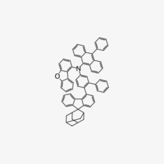 c1ccc(-c2cc(N(c3c4ccccc4c(-c4ccccc4)c4ccccc34)c3cccc4oc5ccccc5c34)ccc2-c2cccc3c2-c2ccccc2C32C3CC4CC(C3)CC2C4)cc1